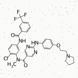 CN(C(=O)c1cnc(Nc2ccc(OCCN3CCCC3)cc2)nc1)c1cc(NC(=O)c2cccc(C(F)(F)F)c2)ccc1Cl